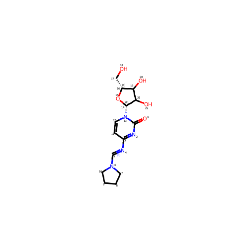 O=c1nc(/N=C/N2CCCC2)ccn1[C@@H]1O[C@H](CO)C(O)C1O